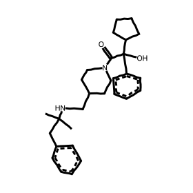 CC(C)(Cc1ccccc1)NCC1CCN(C(=O)C(O)(c2ccccc2)C2CCCC2)CC1